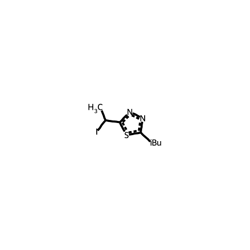 CCC(C)c1nnc(C(C)I)s1